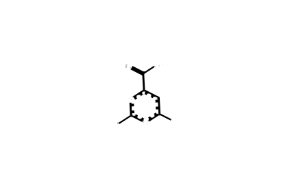 CCCC(=N)c1cc(Cl)nc(Cl)n1